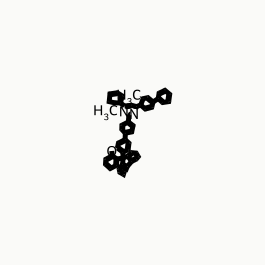 C[C@@H]1C=C(c2ccccc2)C=CC1c1cc(C2=CC=CC[C@@H]2C)nc(-c2ccc(-c3ccc4c(c3)Oc3ccccc3C43c4ccccc4-c4ccccc43)cc2)n1